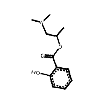 CC(CN(C)C)OC(=O)c1ccccc1O